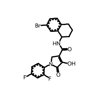 O=C(NC1CCCc2ccc(Br)cc21)C1=C(O)C(=O)N(c2ccc(F)cc2F)C1